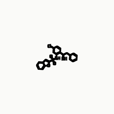 N=C(Cc1ccccc1)c1ccc(Cl)cc1NS(=O)(=O)c1cc2ccccc2o1